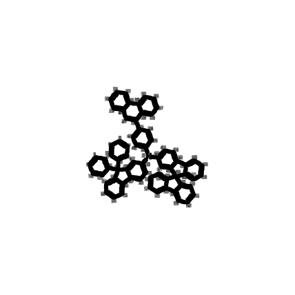 c1ccc(C2(c3ccccc3)c3ccccc3-c3ccc(N(c4ccc(-c5cc6ccccc6c6ccccc56)cc4)c4ccc5c(c4)C4(c6ccccc6-c6ccccc64)c4ccccc4-5)cc32)cc1